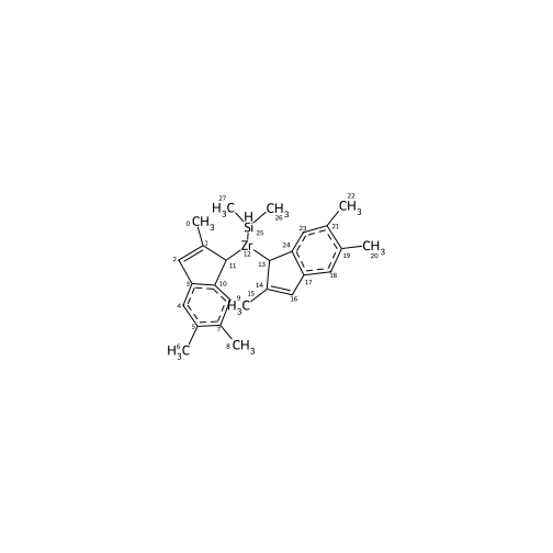 CC1=Cc2cc(C)c(C)cc2[CH]1[Zr]([CH]1C(C)=Cc2cc(C)c(C)cc21)[SiH](C)C